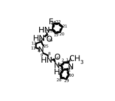 Cc1cc(NC(=O)NCCN2CCC(NC(=O)Nc3ccccc3F)C2)c2ccccc2n1